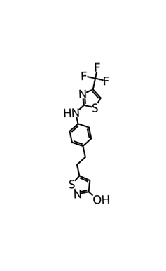 Oc1cc(CCc2ccc(Nc3nc(C(F)(F)F)cs3)cc2)sn1